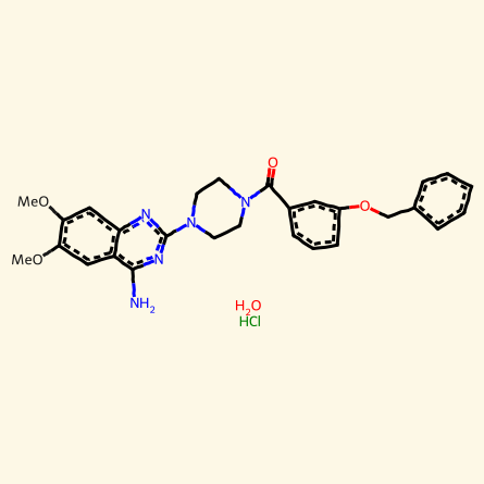 COc1cc2nc(N3CCN(C(=O)c4cccc(OCc5ccccc5)c4)CC3)nc(N)c2cc1OC.Cl.O